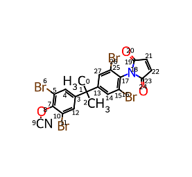 CC(C)(c1cc(Br)c(OC#N)c(Br)c1)c1cc(Br)c(N2C(=O)C=CC2=O)c(Br)c1